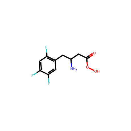 NC(CC(=O)OO)Cc1cc(F)c(F)cc1F